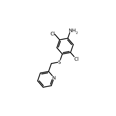 Nc1cc(Cl)c(SCc2ccccn2)cc1Cl